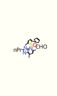 CCCc1nc2c(C)cc(C)nc2n1Cc1ccc(C2(OC=O)CC=CC2)s1